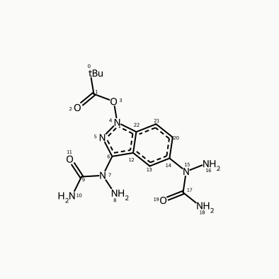 CC(C)(C)C(=O)On1nc(N(N)C(N)=O)c2cc(N(N)C(N)=O)ccc21